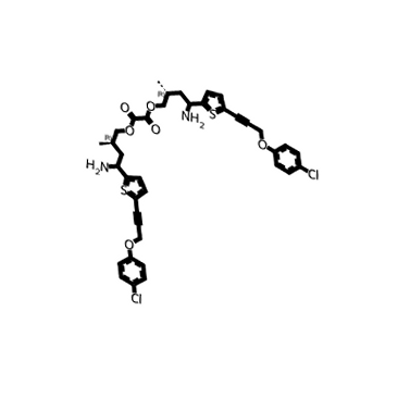 C[C@@H](COC(=O)C(=O)OC[C@H](C)CC(N)c1ccc(C#CCOc2ccc(Cl)cc2)s1)CC(N)c1ccc(C#CCOc2ccc(Cl)cc2)s1